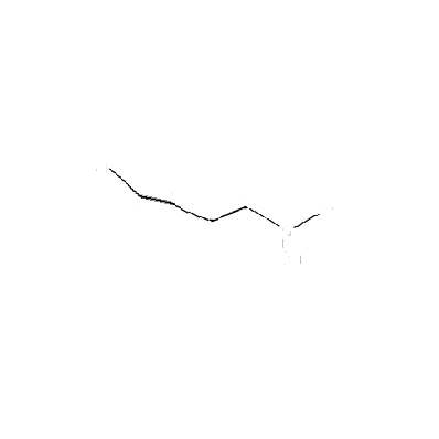 O[SiH](O)CCCCCl